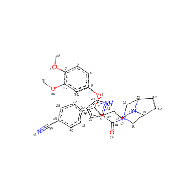 COc1ccc(OC(CCCN2C3CCC2CN(C(=O)c2ccc[nH]2)C3)c2ccc(C#N)cc2)cc1OC